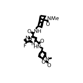 CNC(=O)C12CC3C1C1C2=CC31CNC(=O)c1cc(C(=O)NCc2ccc3oc(=O)n(C)c3c2)nc2c(F)cnn12